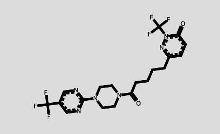 O=C(CCCCc1ccc(=O)n(C(F)(F)F)n1)N1CCN(c2ncc(C(F)(F)F)cn2)CC1